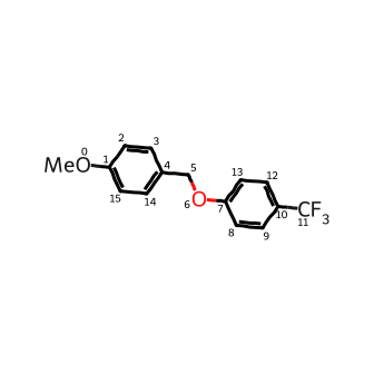 COc1ccc(COc2ccc(C(F)(F)F)cc2)cc1